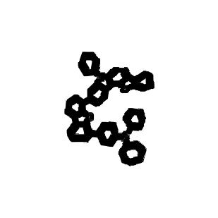 C1=CCC=C(N(c2ccccc2)c2ccc(-c3cccc4c3oc3c(-c5ccc6c7c8oc9ccccc9c8ccc7n(-c7ccccc7)c6c5)cccc34)cc2)C=C1